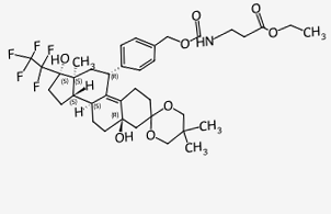 CCOC(=O)CCNC(=O)OCc1ccc([C@H]2C[C@@]3(C)[C@@H](CC[C@@]3(O)C(F)(F)C(F)(F)F)[C@@H]3CC[C@@]4(O)CC5(CCC4=C32)OCC(C)(C)CO5)cc1